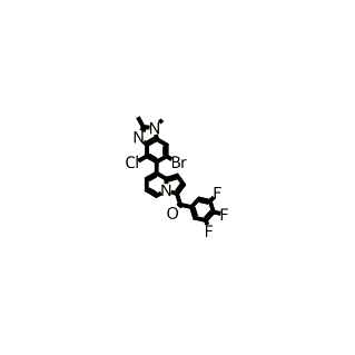 Cc1nc2c(Cl)c(-c3cccn4c(C(=O)c5cc(F)c(F)c(F)c5)ccc34)c(Br)cc2n1C